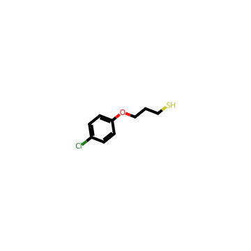 SCCCOc1ccc(Cl)cc1